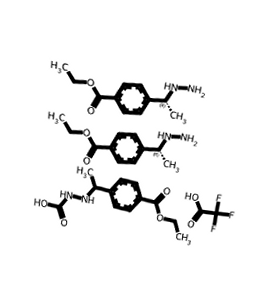 CCOC(=O)c1ccc(C(C)NNC(=O)O)cc1.CCOC(=O)c1ccc([C@@H](C)NN)cc1.CCOC(=O)c1ccc([C@@H](C)NN)cc1.O=C(O)C(F)(F)F